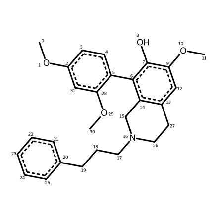 COc1ccc(-c2c(O)c(OC)cc3c2CN(CCCc2ccccc2)CC3)c(OC)c1